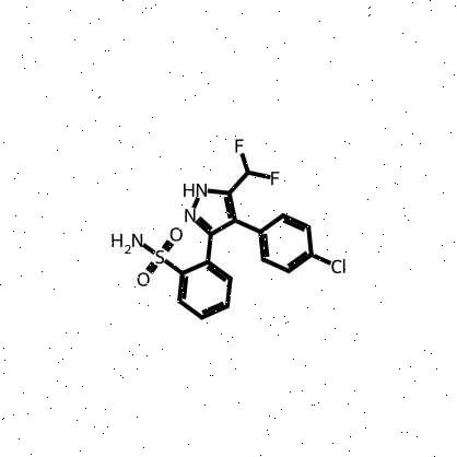 NS(=O)(=O)c1ccccc1-c1n[nH]c(C(F)F)c1-c1ccc(Cl)cc1